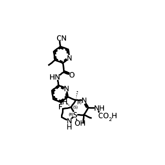 Cc1cc(C#N)cnc1C(=O)Nc1ccc(F)c([C@@]2(C)N=C(NC(=O)O)C(C)(C)[S@@]3(O)NCC[C@@H]23)n1